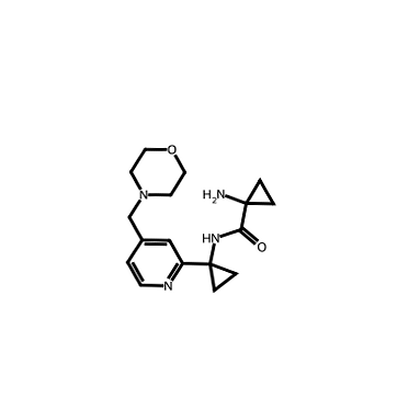 NC1(C(=O)NC2(c3cc(CN4CCOCC4)ccn3)CC2)CC1